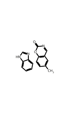 Cc1ccc2oc(=O)ncc2c1.c1ccc2[nH]cnc2c1